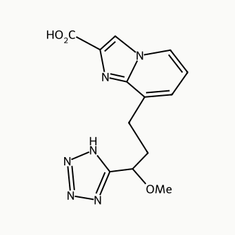 COC(CCc1cccn2cc(C(=O)O)nc12)c1nnn[nH]1